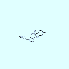 CCOC(=O)Cc1csc([AsH]S(=O)(=O)c2ccc(C)cc2)n1